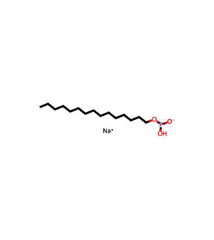 CCCCCCCCCCCCCCCOP([O-])O.[Na+]